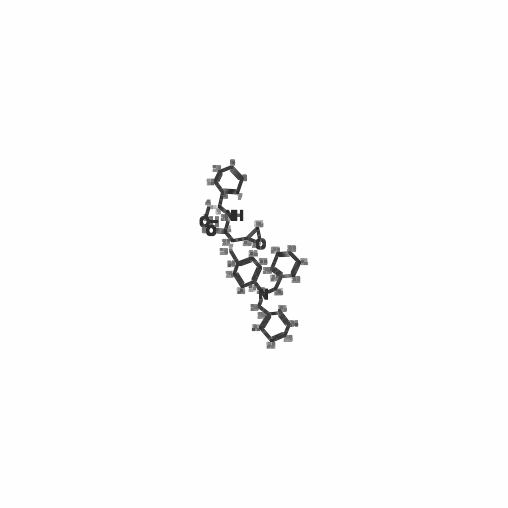 O=C(N[C@H](CO)c1ccccc1)[C@@H](Cc1ccc(N(Cc2ccccc2)Cc2ccccc2)cc1)C1CO1